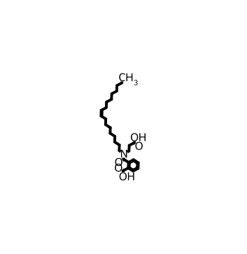 CCCCCCCC/C=C\CCCCCCCCN(CCC(=O)O)C(=O)c1ccccc1C(=O)O